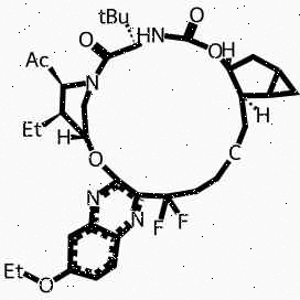 CCOc1ccc2nc3c(nc2c1)O[C@H]1CN(C(=O)[C@H](C(C)(C)C)NC(=O)O[C@@H]2CC4CC4[C@H]2CCCCC3(F)F)[C@H](C(C)=O)[C@@H]1CC